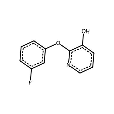 Oc1cccnc1Oc1cccc(F)c1